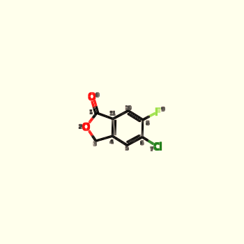 O=C1OCc2cc(Cl)c(F)cc21